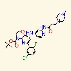 CN1CCN(CCC(=O)Nc2cc(Nc3cc(-c4cc(Cl)ccc4F)nc4c3OCCN4C(=O)OC(C)(C)C)ccn2)CC1